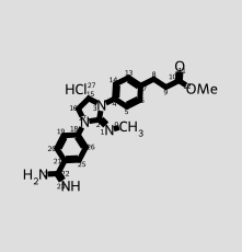 C/N=C1\N(c2ccc(CCC(=O)OC)cc2)CCN1c1ccc(C(=N)N)cc1.Cl